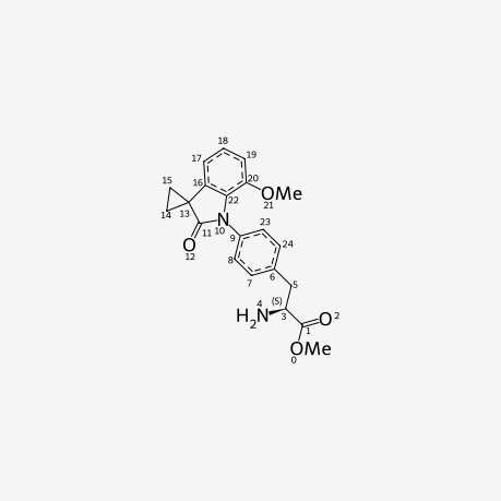 COC(=O)[C@@H](N)Cc1ccc(N2C(=O)C3(CC3)c3cccc(OC)c32)cc1